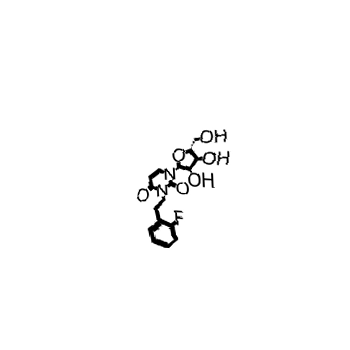 O=c1ccn([C@@H]2O[C@H](CO)C(O)[C@@H]2O)c(=O)n1CCc1ccccc1F